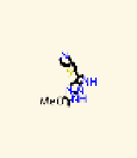 COCC(C)Nc1ncc2c(-c3cc4cnccc4s3)c[nH]c2n1